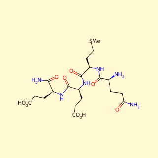 CSCC[C@@H](NC(=O)[C@@H](N)CCC(N)=O)C(=O)N[C@@H](CCC(=O)O)C(=O)N[C@@H](CCC(=O)O)C(N)=O